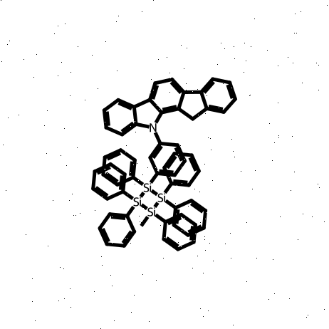 C[Si]1(c2ccccc2)[Si](c2ccccc2)(c2ccccc2)[Si](c2ccccc2)(c2cccc(-n3c4ccccc4c4ccc5c(c43)Cc3ccccc3-5)c2)[Si]1(c1ccccc1)c1ccccc1